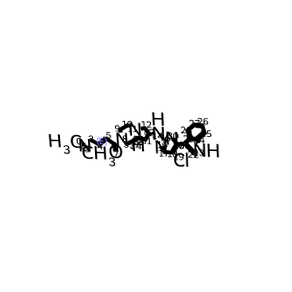 CN(C)C/C=C/C(=O)N1CCN2C[C@@H](Nc3ncc(Cl)c(-c4c[nH]c5ccccc45)n3)C[C@H]2C1